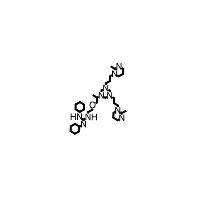 CC1=NCCCN1CCCN1CN(CCCN2CCCN=C2C)CN(C(C)COCCN/C(=N/C2CCCCC2)NC2CCCCC2)C1